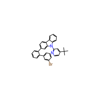 CC(C)(C)c1ccnc(-n2c3ccccc3c3ccc(-c4ccccc4-c4cccc(Br)c4)cc32)c1